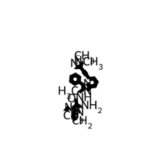 C=Cn1nc(N)c(C(=O)N[C@H](C)c2nc3cccc(C#Cc4cnn(C)c4C)n3c2-c2ccccc2)c1/N=C\C